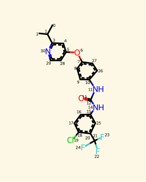 CC(C)c1cc(Oc2ccc(NC(=O)Nc3ccc(Cl)c(C(F)(F)F)c3)cc2)ccn1